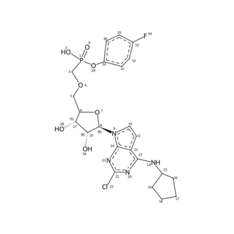 O=P(O)(COCC1O[C@@H](n2ccc3c(NC4CCCC4)nc(Cl)nc32)[C@H](O)[C@@H]1O)Oc1ccc(F)cc1